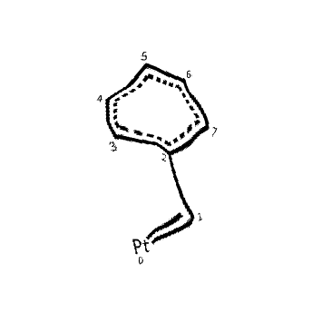 [Pt]=[CH]c1ccccc1